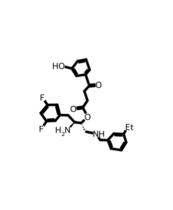 CCc1cccc(CNC[C@@H](OC(=O)CCC(=O)c2cccc(O)c2)[C@@H](N)Cc2cc(F)cc(F)c2)c1